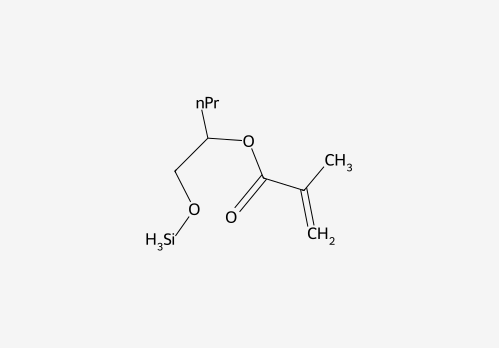 C=C(C)C(=O)OC(CCC)CO[SiH3]